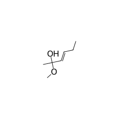 CCC=CC(C)(O)OC